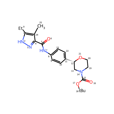 CCc1[nH]nc(C(=O)Nc2ccc([C@H]3CN(C(=O)OC(C)(C)C)CCO3)cc2)c1C